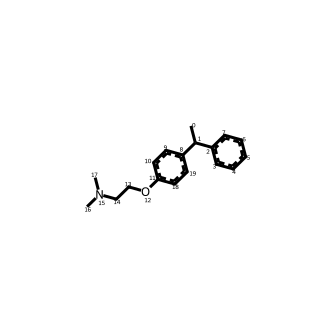 CC(c1ccccc1)c1ccc(OCCN(C)C)cc1